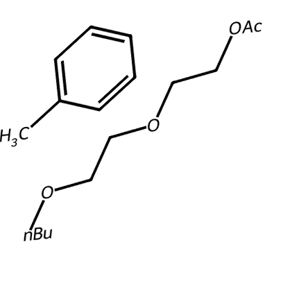 CCCCOCCOCCOC(C)=O.Cc1ccccc1